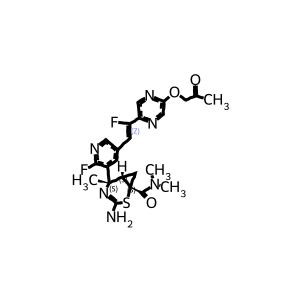 CC(=O)COc1cnc(/C(F)=C/c2cnc(F)c([C@@]3(C)N=C(N)S[C@@]4(C(=O)N(C)C)C[C@H]43)c2)cn1